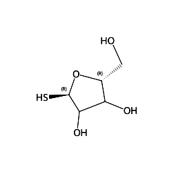 OC[C@H]1O[C@H](S)C(O)C1O